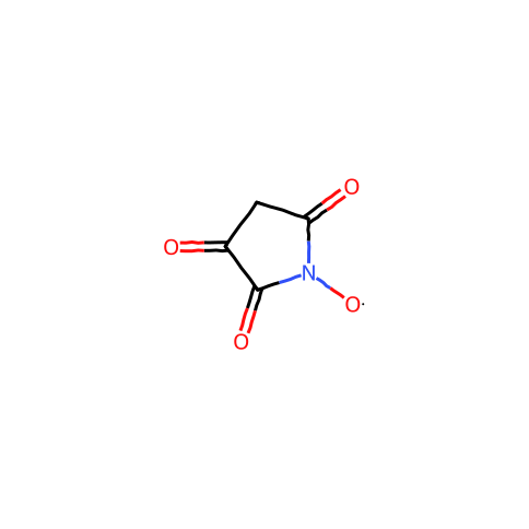 [O]N1C(=O)CC(=O)C1=O